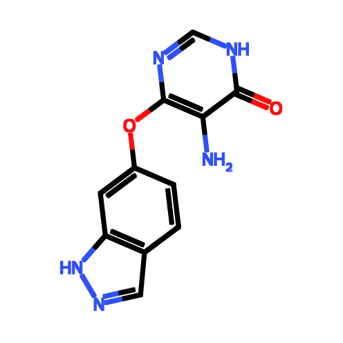 Nc1c(Oc2ccc3cn[nH]c3c2)nc[nH]c1=O